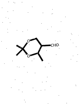 CC1OC(C)(C)OCC1C=O